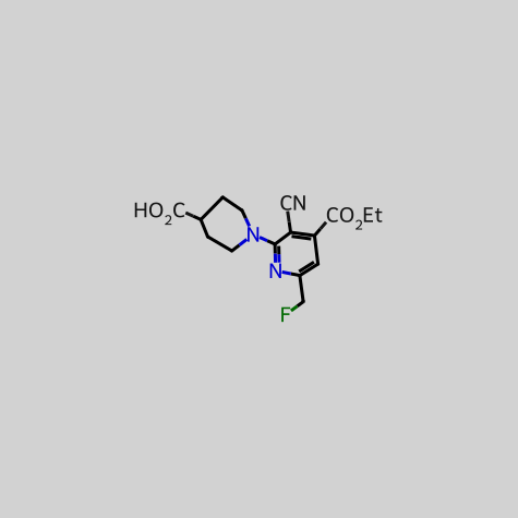 CCOC(=O)c1cc(CF)nc(N2CCC(C(=O)O)CC2)c1C#N